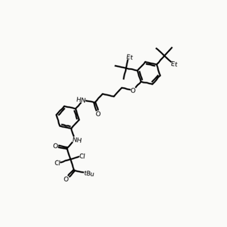 CCC(C)(C)c1ccc(OCCCC(=O)Nc2cccc(NC(=O)C(Cl)(Cl)C(=O)C(C)(C)C)c2)c(C(C)(C)CC)c1